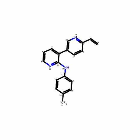 C=Cc1ccc(-c2cccnc2Nc2ccc(C(F)(F)F)cc2)cn1